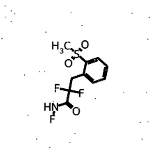 CS(=O)(=O)c1ccccc1CC(F)(F)C(=O)NF